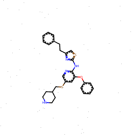 c1ccc(CCc2csc(Nc3ncc(SCC4CCNCC4)cc3Oc3ccccc3)n2)cc1